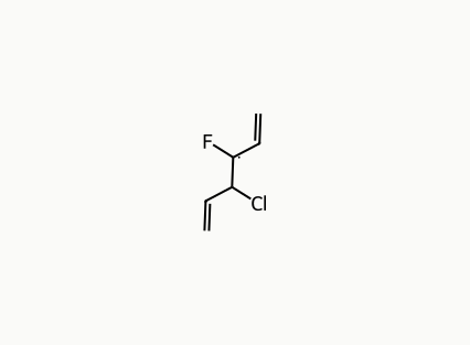 C=C[C](F)C(Cl)C=C